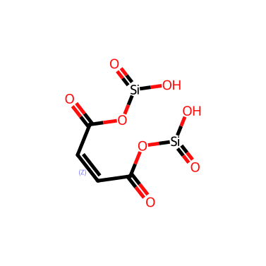 O=C(/C=C\C(=O)O[Si](=O)O)O[Si](=O)O